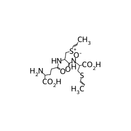 CC=CSCC(NC(=O)C(C[S+]([O-])C=CC)NC(=O)CCC(N)C(=O)O)C(=O)O